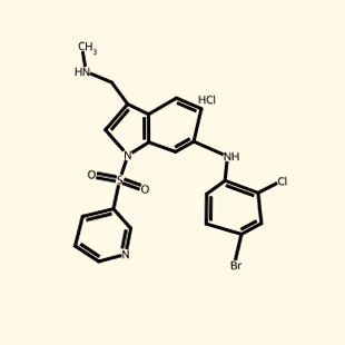 CNCc1cn(S(=O)(=O)c2cccnc2)c2cc(Nc3ccc(Br)cc3Cl)ccc12.Cl